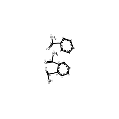 NC(=O)c1ccccc1.NC(=O)c1ccccc1C(=O)O